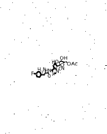 CC(=O)OC[C@H]1O[C@@](C#N)(c2ccc3c(NC(=O)[C@@H](N)Cc4ccc(F)cc4)ncnn23)[C@H](O)[C@@H]1O